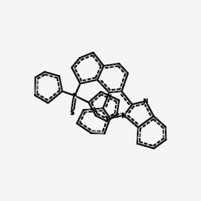 S=P(c1ccccc1)(c1ccccc1)c1cccc2ccc3c(c4ccccc4n4c5ccccc5nc34)c12